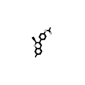 C#CC1Oc2cc(C)ccc2C=C1c1ccc(OC(C)=O)cc1